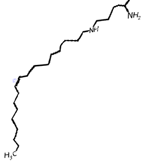 CCCCCCCC/C=C\CCCCCCCCNCCCC(N)CCN